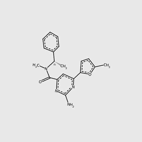 Cc1ccc(-c2cc(C(=O)N(C)[C@@H](C)c3ccccc3)nc(N)n2)o1